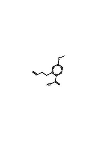 C=CCCc1cc(OC)ccc1C(=C)O